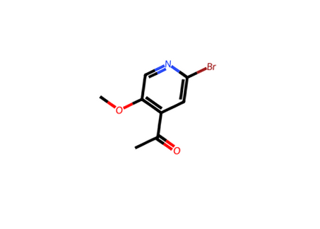 COc1cnc(Br)cc1C(C)=O